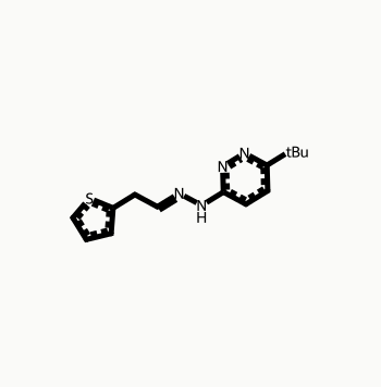 CC(C)(C)c1ccc(NN=CCc2cccs2)nn1